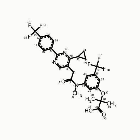 CN(C(=O)Cc1cnc(-c2ccc(C(F)(F)F)cc2)nc1C1CC1)c1cc(OC(C)(C)C(=O)O)cc(C(F)(F)F)c1